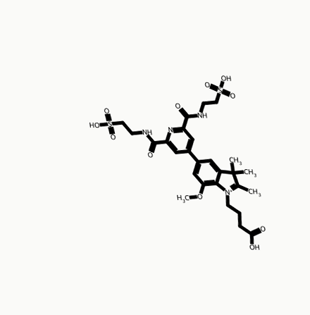 COc1cc(-c2cc(C(=O)NCCS(=O)(=O)O)nc(C(=O)NCCS(=O)(=O)O)c2)cc2c1[N+](CCCC(=O)O)=C(C)C2(C)C